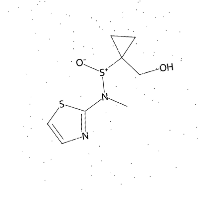 CN(c1nccs1)[S+]([O-])C1(CO)CC1